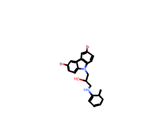 CC1CC=CC=C1NCC(O)Cn1c2ccc(Br)cc2c2cc(Br)ccc21